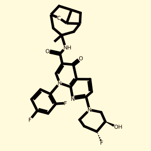 CC1(NC(=O)c2cn(-c3ccc(F)cc3F)c3nc(N4CC[C@@H](F)[C@H](O)C4)ccc3c2=O)CC2CC3CC(C1)C3C2